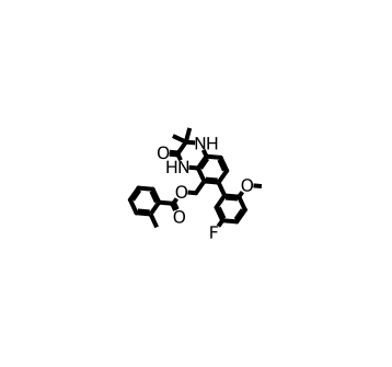 COc1ccc(F)cc1-c1ccc2c(c1COC(=O)c1ccccc1C)NC(=O)C(C)(C)N2